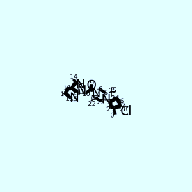 Cc1cc(N2CCN(C(=O)Cn3nc(C)c4cccnc43)[C@@H](C)C2)c(F)cc1Cl